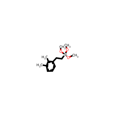 CO[Si](CCc1cccc(C)c1C)(OC)OC